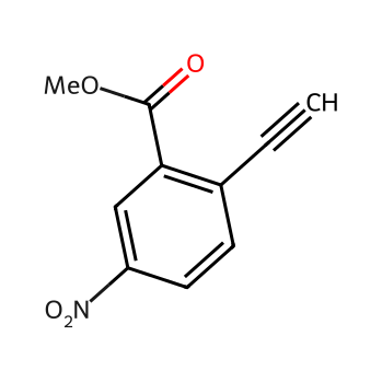 C#Cc1ccc([N+](=O)[O-])cc1C(=O)OC